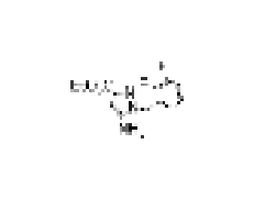 CCOC(=O)c1cc(N)n(Cc2cccc(F)c2F)n1